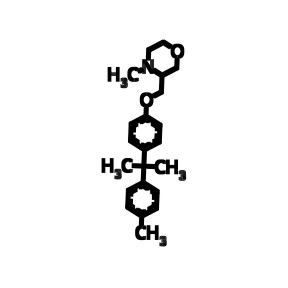 Cc1ccc(C(C)(C)c2ccc(OCC3COCCN3C)cc2)cc1